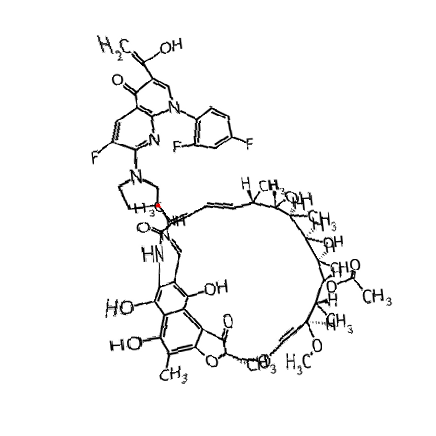 C=C(O)c1cn(-c2ccc(F)cc2F)c2nc(N3CCC(N/N=C/c4c5c(O)c6c(O)c(C)c7c(c6c4O)C(=O)[C@@](C)(O/C=C/[C@H](OC)[C@@H](C)[C@@H](OC(C)=O)[C@H](C)[C@H](O)[C@H](C)[C@@H](O)[C@@H](C)/C=C/C=C(/C)C(=O)N5)O7)C3)c(F)cc2c1=O